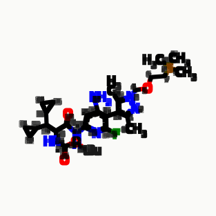 Cc1nn(COCCS(C)(C)C)c(C)c1-c1c(N)cc(NC(=O)C(NC(=O)OC(C)(C)C)C(C2CC2)C2CC2)nc1F